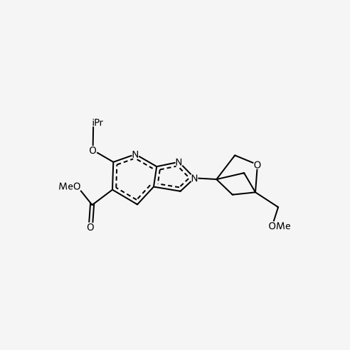 COCC12CC(n3cc4cc(C(=O)OC)c(OC(C)C)nc4n3)(CO1)C2